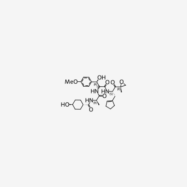 COc1ccc([C@@H](O)[C@H](NC(=O)[C@@H](C)NC(=O)[C@H]2CC[C@H](O)CC2)C(=O)N[C@@H](CC2=CCCC2)C(=O)[C@@]2(C)CO2)cc1